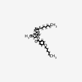 CCCCCCOc1ccc(C(=O)OC2CN(C)C[N+]2([O-])c2nnc(SCCCCCC)s2)cc1